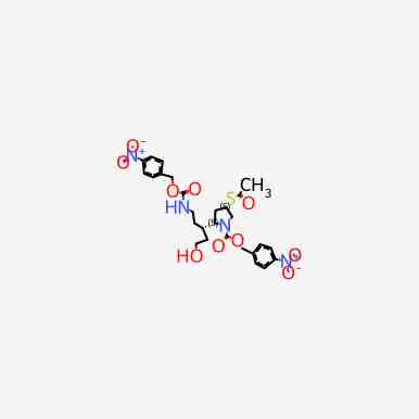 CC(=O)S[C@H]1C[C@@H](C(CCO)CCNC(=O)OCc2ccc([N+](=O)[O-])cc2)N(C(=O)OCc2ccc([N+](=O)[O-])cc2)C1